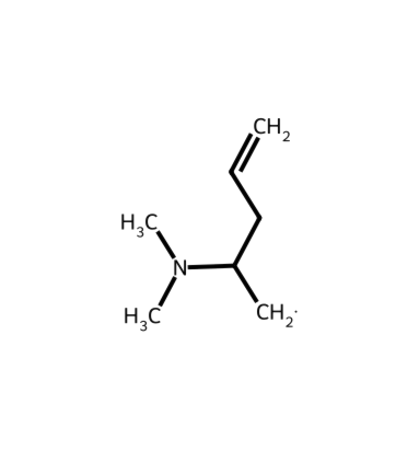 [CH2]C(CC=C)N(C)C